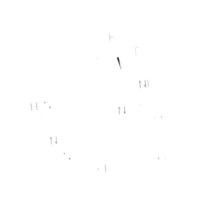 COCCC(c1cc(N)nnc1Cl)N1C[C@@H](C(F)(F)F)NC1=O